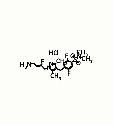 Cc1nn(C/C(F)=C/CN)c(C)c1Cc1cc(F)c(S(=O)(=O)N(C)C)cc1F.Cl